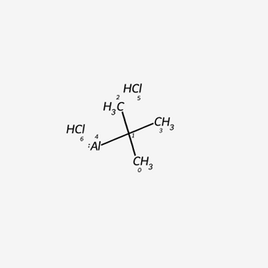 C[C](C)(C)[Al].Cl.Cl